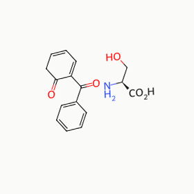 N[C@@H](CO)C(=O)O.O=C1CC=CC=C1C(=O)c1ccccc1